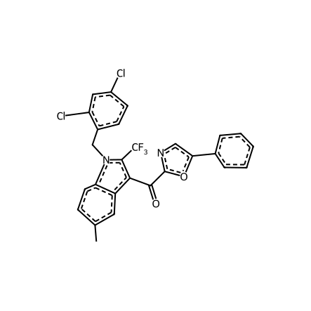 Cc1ccc2c(c1)c(C(=O)c1ncc(-c3ccccc3)o1)c(C(F)(F)F)n2Cc1ccc(Cl)cc1Cl